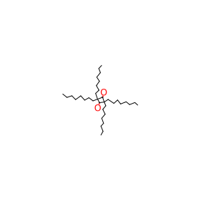 CCCCCCCCC1(CCCCCCCC)C(=O)C(CCCCCCCC)(CCCCCCCC)C1=O